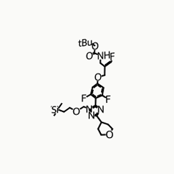 CC(C)(C)OC(=O)NC/C(=C\F)COc1cc(F)c(-c2nc(C3CCOCC3)nn2COCC[Si](C)(C)C)c(F)c1